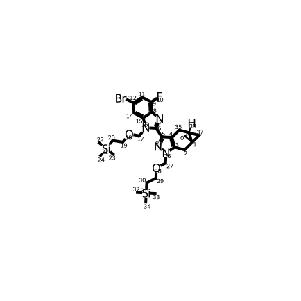 C[C@@]12Cc3c(c(-c4nc5c(F)cc(Br)cc5n4COCC[Si](C)(C)C)nn3COCC[Si](C)(C)C)C[C@@H]1C2